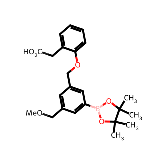 COCc1cc(COc2ccccc2CC(=O)O)cc(B2OC(C)(C)C(C)(C)O2)c1